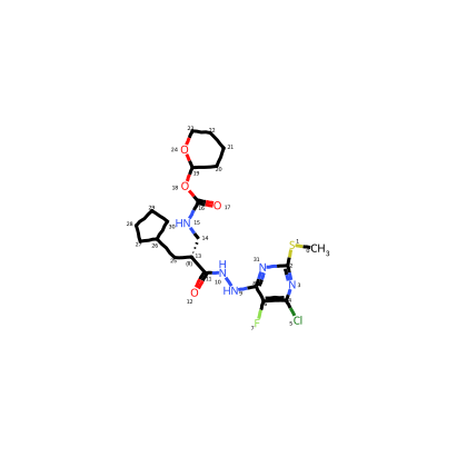 CSc1nc(Cl)c(F)c(NNC(=O)[C@@H](CNC(=O)OC2CCCCO2)CC2CCCC2)n1